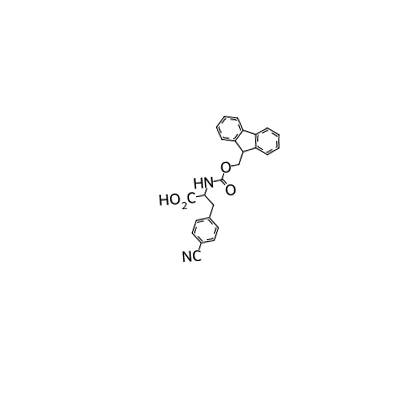 N#Cc1ccc(CC(NC(=O)OCC2c3ccccc3-c3ccccc32)C(=O)O)cc1